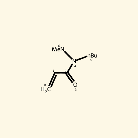 C=CC(=O)N(CCCC)NC